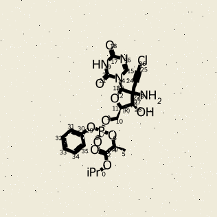 CC(C)OC(=O)[C@H](C)OP(=O)(OC[C@H]1O[C@@H](n2cnc(=O)[nH]c2=O)C(N)(C#CCl)[C@H]1O)Oc1ccccc1